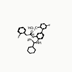 CC(C)C(Nc1ccc(-c2cc(F)ccc2C(=O)O)cc1NC(=O)Cc1ccccc1F)C1CCCCC1